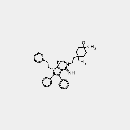 CC1(O)CCC(C)(CCn2cnc3c(c(-c4ccccc4)c(-c4ccccc4)n3CCc3ccccc3)c2=N)CC1